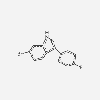 Fc1ccc(-c2n[nH]c3cc(Br)ccc23)cc1